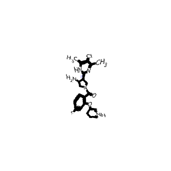 CC1=N/C(=C2\CN(C(=O)c3ccc(F)cc3OC3CCCNC3)CC2N)NC(C)=C1Cl